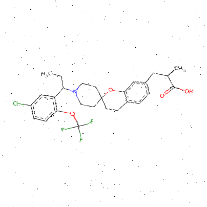 CCC(c1cc(Cl)ccc1OC(F)(F)F)N1CCC2(CCc3ccc(CC(C)C(=O)O)cc3O2)CC1